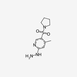 Cc1cc(NN)ncc1S(=O)(=O)N1CCCC1